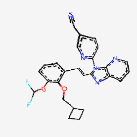 N#Cc1ccc(-n2c(C=Cc3cccc(OC(F)F)c3OCC3CCC3)nc3cccnc32)nc1